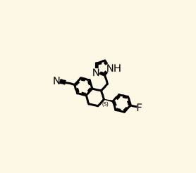 N#Cc1ccc2c(c1)CC[C@H](c1ccc(F)cc1)C2Cc1ncc[nH]1